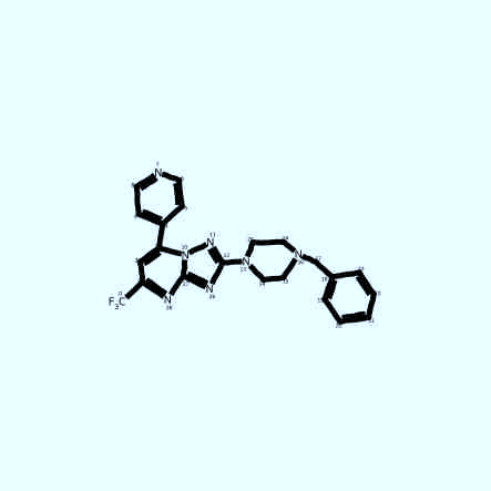 FC(F)(F)c1cc(-c2ccncc2)n2nc(N3CCN(Cc4ccccc4)CC3)nc2n1